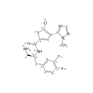 Cn1ncnc1-c1cc(C(=O)N[C@H](CN)Cc2ccc(F)c(F)c2)sc1Cl